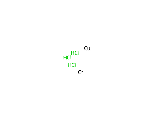 Cl.Cl.Cl.[Cr].[Cu]